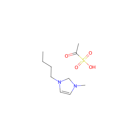 CC(=O)S(=O)(=O)O.CCCCN1C=CN(C)C1